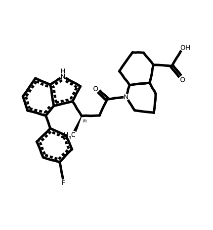 C[C@H](CC(=O)N1CCCC2C(C(=O)O)CCCC21)c1c[nH]c2cccc(-c3ccc(F)cc3)c12